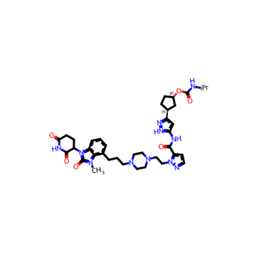 CC(C)NC(=O)O[C@@H]1CC[C@H](c2cc(NC(=O)c3ccnn3CCN3CCN(CCCc4cccc5c4n(C)c(=O)n5C4CCC(=O)NC4=O)CC3)[nH]n2)C1